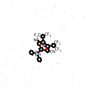 N#Cc1ccc(-c2cc(-c3nc(-c4ccccc4)nc(-c4ccccc4)n3)cc(-c3ccc(C#N)cc3)c2-n2c3ccc(-c4cc(C(F)(F)F)cc(C(F)(F)F)c4)cc3c3cc(-c4cc(C(F)(F)F)cc(C(F)(F)F)c4)ccc32)cc1